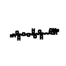 CCCC(=O)NCCOCCOCCNC(=O)CCC(=O)NCCCCC(CO)COC